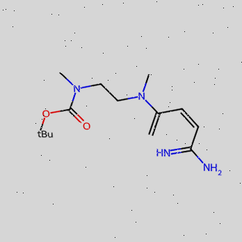 C=C(/C=C\C(=N)N)N(C)CCN(C)C(=O)OC(C)(C)C